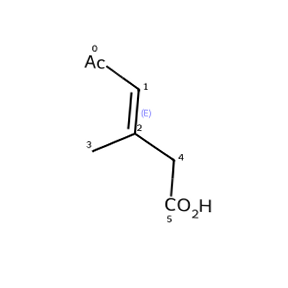 CC(=O)/C=C(\C)CC(=O)O